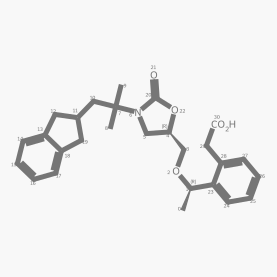 C[C@@H](OC[C@H]1CN(C(C)(C)CC2Cc3ccccc3C2)C(=O)O1)c1ccccc1CC(=O)O